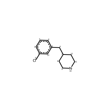 Clc1cccc(CC2CC[N]CC2)c1